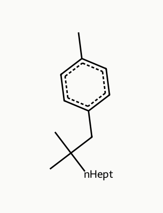 CCCCCCCC(C)(C)Cc1ccc(C)cc1